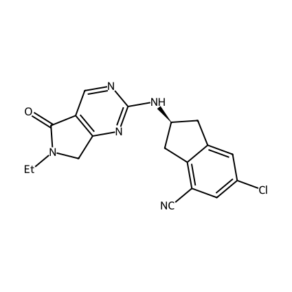 CCN1Cc2nc(N[C@H]3Cc4cc(Cl)cc(C#N)c4C3)ncc2C1=O